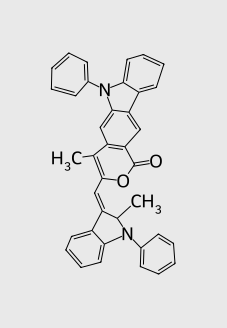 Cc1c(/C=C2/c3ccccc3N(c3ccccc3)C2C)oc(=O)c2cc3c4ccccc4n(-c4ccccc4)c3cc12